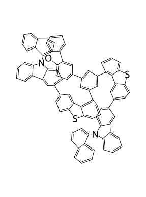 c1ccc2c(-n3c4ccccc4c4cc(-c5ccc6sc7cccc(-c8cc(-c9ccc%10oc%11ccccc%11c%10c9)cc(-c9cccc%10sc%11ccc(-c%12ccc%13c(c%12)c%12ccccc%12n%13-c%12cccc%13ccccc%12%13)cc%11c9%10)c8)c7c6c5)ccc43)cccc2c1